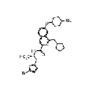 CC(C)(C)C1CCC(Oc2ccc3cc(C(=O)N[C@@H](Cc4ccc(Br)s4)C(=O)O)nc(CC4CCCC4)c3c2)CC1